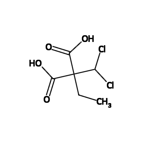 CCC(C(=O)O)(C(=O)O)C(Cl)Cl